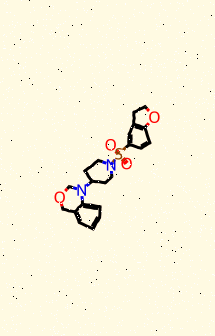 O=S(=O)(c1ccc2c(c1)CCO2)N1CCC(N2COCc3ccccc32)CC1